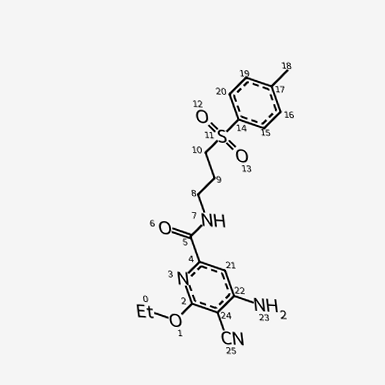 CCOc1nc(C(=O)NCCCS(=O)(=O)c2ccc(C)cc2)cc(N)c1C#N